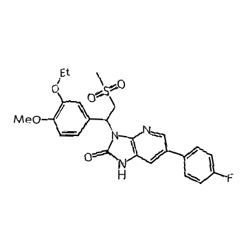 CCOc1cc(C(CS(C)(=O)=O)n2c(=O)[nH]c3cc(-c4ccc(F)cc4)cnc32)ccc1OC